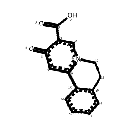 O=C(O)c1cn2c(cc1=O)-c1ccccc1CC2